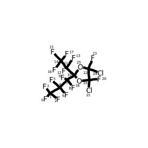 FC(F)(F)C(F)(F)C(F)(F)C1(C(F)(F)C(F)(F)F)OC(F)(Cl)C(F)(Cl)O1